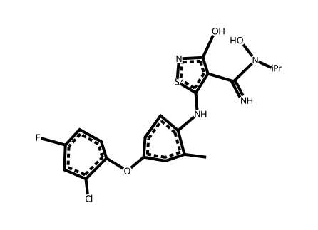 Cc1cc(Oc2ccc(F)cc2Cl)ccc1Nc1snc(O)c1C(=N)N(O)C(C)C